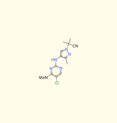 CNc1nc(Nc2cn(C(C)(C)C#N)nc2C)ncc1Cl